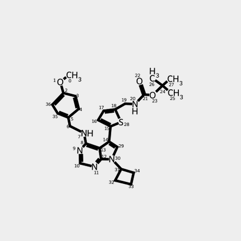 COc1ccc(CNc2ncnc3c2c(-c2ccc(CNC(=O)OC(C)(C)C)s2)cn3C2CCC2)cc1